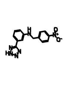 O=[N+]([O-])c1ccc(CNc2cccc(-c3nn[nH]n3)c2)cc1